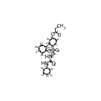 CCC(=O)Oc1ccc(S(=O)(=O)ONC(=O)Nc2ccccc2)c(-c2ccccc2)c1